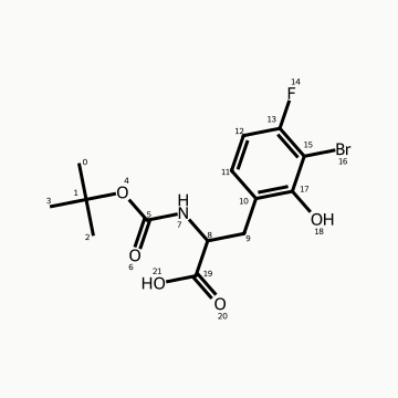 CC(C)(C)OC(=O)NC(Cc1ccc(F)c(Br)c1O)C(=O)O